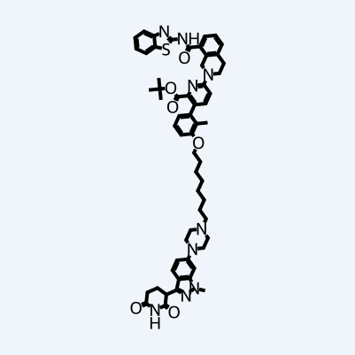 Cc1c(OCCCCCCCCN2CCN(c3ccc4c(C5CCC(=O)NC5=O)nn(C)c4c3)CC2)cccc1-c1ccc(N2CCc3cccc(C(=O)Nc4nc5ccccc5s4)c3C2)nc1C(=O)OC(C)(C)C